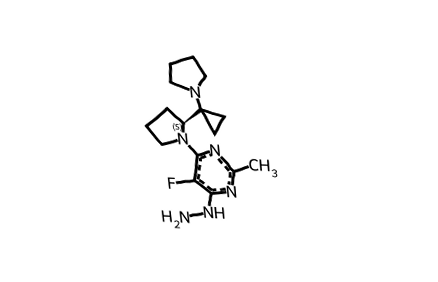 Cc1nc(NN)c(F)c(N2CCC[C@H]2C2(N3CCCC3)CC2)n1